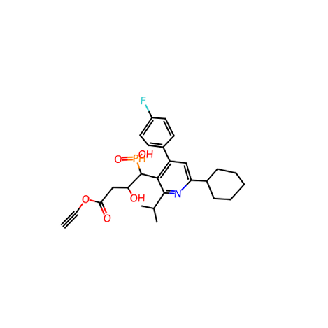 C#COC(=O)CC(O)C(c1c(-c2ccc(F)cc2)cc(C2CCCCC2)nc1C(C)C)[PH](=O)O